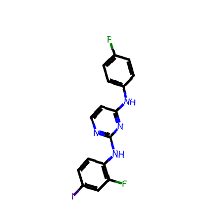 Fc1ccc(Nc2ccnc(Nc3ccc(I)cc3F)n2)cc1